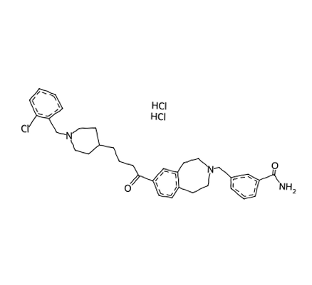 Cl.Cl.NC(=O)c1cccc(CN2CCc3ccc(C(=O)CCCC4CCN(Cc5ccccc5Cl)CC4)cc3CC2)c1